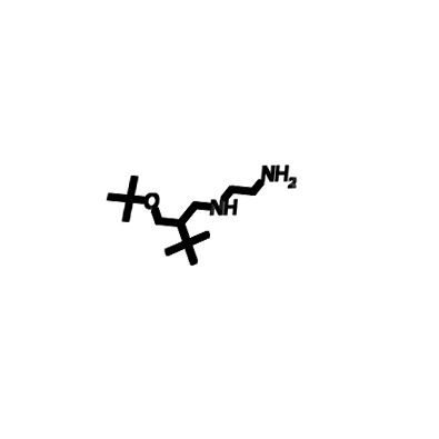 CC(C)(C)OCC(CNCCN)C(C)(C)C